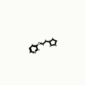 [c]1ccc(OCCC2CCCC2)cn1